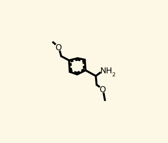 COCc1ccc(C(N)COC)cc1